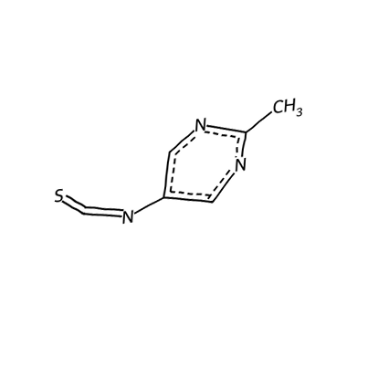 Cc1ncc(N=C=S)cn1